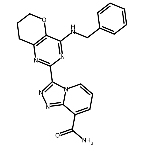 NC(=O)c1cccn2c(-c3nc4c(c(NCc5ccccc5)n3)OCCC4)nnc12